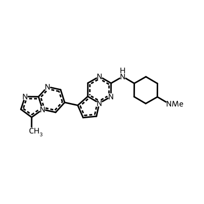 CNC1CCC(Nc2ncc3c(-c4cnc5ncc(C)n5c4)ccn3n2)CC1